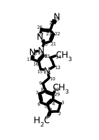 C=C1CCc2c1ccc(CCN(CCC)Cc1cnn(-c3ccc(C#N)cn3)c1)c2C